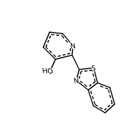 Oc1cccnc1-c1nc2ccccc2s1